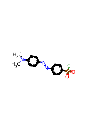 CN(C)c1ccc(/N=N/c2ccc(S(=O)(=O)Cl)cc2)cc1